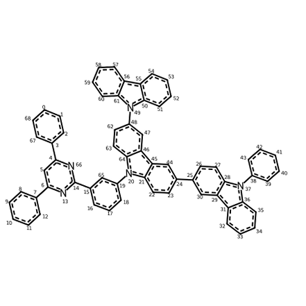 c1ccc(-c2cc(-c3ccccc3)nc(-c3cccc(-n4c5ccc(-c6ccc7c(c6)c6ccccc6n7-c6ccccc6)cc5c5cc(-n6c7ccccc7c7ccccc76)ccc54)c3)n2)cc1